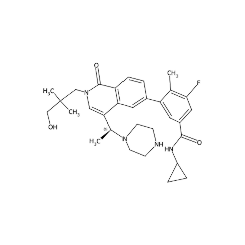 Cc1c(F)cc(C(=O)NC2CC2)cc1-c1ccc2c(=O)n(CC(C)(C)CO)cc([C@H](C)N3CCNCC3)c2c1